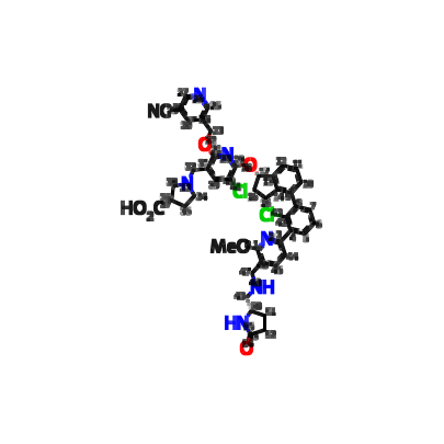 COc1nc(-c2cccc(-c3cccc4c3CC[C@@H]4Oc3nc(OCc4cncc(C#N)c4)c(CN4CC[C@H](C(=O)O)C4)cc3Cl)c2Cl)ccc1CNC[C@@H]1CCC(=O)N1